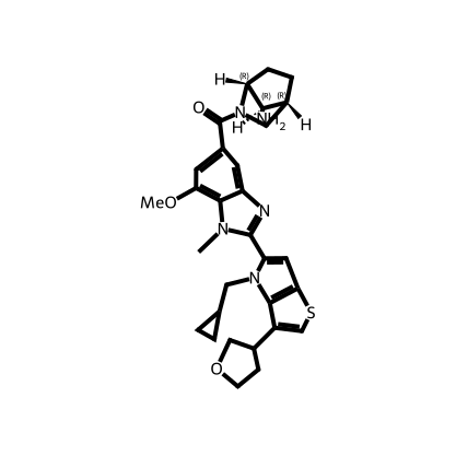 COc1cc(C(=O)N2C[C@H]3CC[C@@H]2[C@@H]3N)cc2nc(-c3cc4scc(C5CCOC5)c4n3CC3CC3)n(C)c12